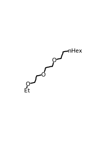 [CH2]COCCOCCOCCCCCCCC